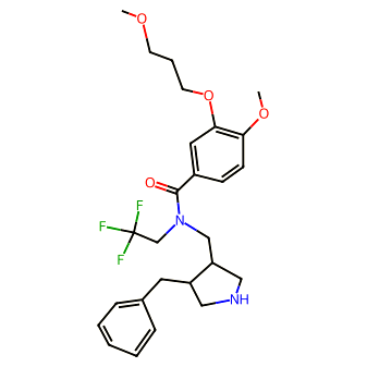 COCCCOc1cc(C(=O)N(CC2CNCC2Cc2ccccc2)CC(F)(F)F)ccc1OC